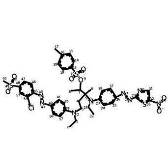 CCN(CCC(C)(C(C)OS(=O)(=O)c1ccc(C)cc1)N(CC)c1ccc(N=Nc2ncc([N+](=O)[O-])s2)cc1)c1ccc(N=Nc2ccc(S(C)(=O)=O)cc2Cl)cc1